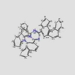 c1ccc(-c2nc(-c3ccc4ccccc4c3-n3c4ccccc4c4ccccc43)nc(-c3cc4ccc5ccccc5c4c4ccccc34)n2)cc1